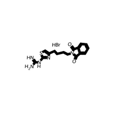 Br.N=C(N)Nc1nc(CCCCN2C(=O)c3ccccc3C2=O)cs1